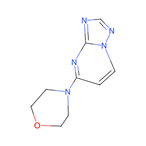 c1nc2nc(N3CCOCC3)ccn2n1